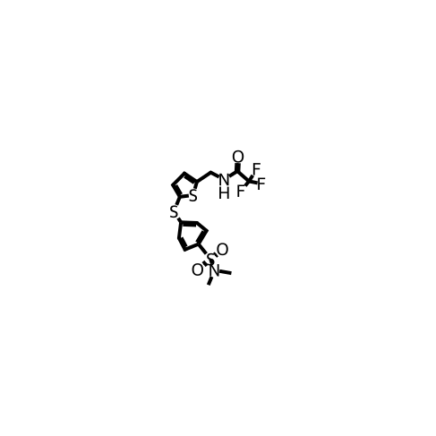 CN(C)S(=O)(=O)c1ccc(Sc2ccc(CNC(=O)C(F)(F)F)s2)cc1